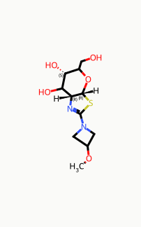 COC1CN(C2=N[C@@H]3C(O)[C@H](O)C(CO)O[C@@H]3S2)C1